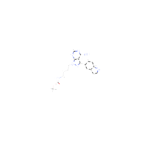 CC(C)(C)OC(=O)NCCCCn1nc(-c2ccc3[nH]ccc3c2)c2c(N)ncnc21